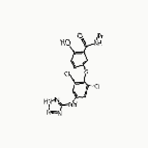 CC(C)NC(=O)c1cc(Oc2c(Cl)cc(Nc3nn[nH]n3)cc2Cl)ccc1O